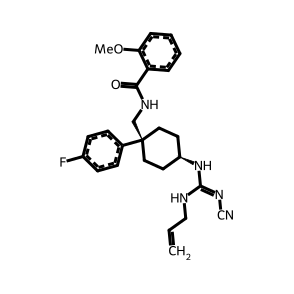 C=CCN/C(=N\C#N)N[C@H]1CC[C@](CNC(=O)c2ccccc2OC)(c2ccc(F)cc2)CC1